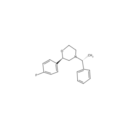 C[C@H](c1ccccc1)N1CCO[C@H](c2ccc(F)cc2)C1